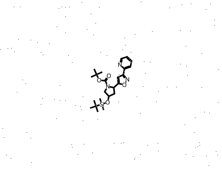 CC(C)(C)OC(=O)N1CC(O[Si](C)(C)C(C)(C)C)CC1c1cc(-c2ccccn2)no1